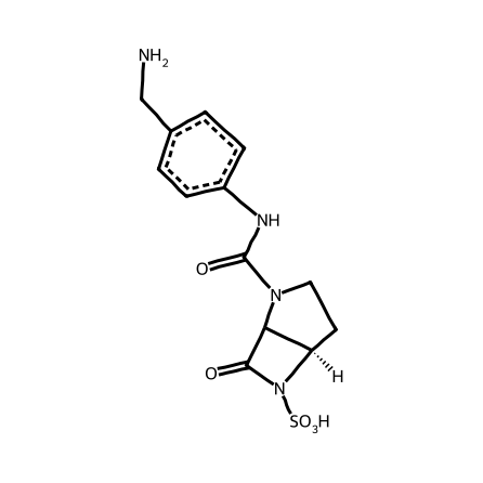 NCc1ccc(NC(=O)N2CC[C@@H]3C2C(=O)N3S(=O)(=O)O)cc1